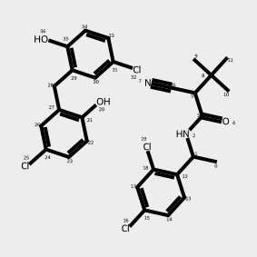 CC(NC(=O)C(C#N)C(C)(C)C)c1ccc(Cl)cc1Cl.Oc1ccc(Cl)cc1Cc1cc(Cl)ccc1O